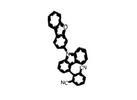 N#Cc1cccc(C#N)c1-c1cccc2c1c1ccccc1n2-c1ccc2c(c1)oc1ccccc12